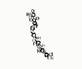 N#Cc1ccc(N2CCc3c(ncnc3Nc3ccc(C(=O)NC4CCC(CN5CCN(c6cc7c(cc6F)C(=O)N(C6CCC(=O)NC6=O)C7=O)CC5)CC4)c(F)n3)C2)cc1Cl